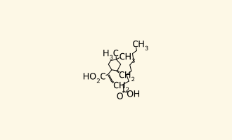 C=C=C(C(=O)O)C1CCC(C)(C)CC1=C.CCCCCCCCCC(=O)O